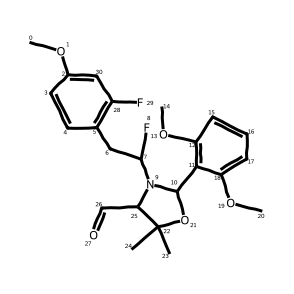 COc1ccc(CC(F)N2C(c3c(OC)cccc3OC)OC(C)(C)C2C=O)c(F)c1